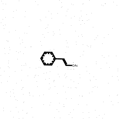 CC(=O)O/[C]=C/c1ccccc1